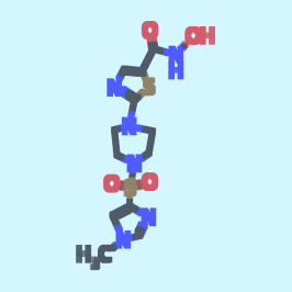 Cn1cnc(S(=O)(=O)N2CCN(c3ncc(C(=O)NO)s3)CC2)c1